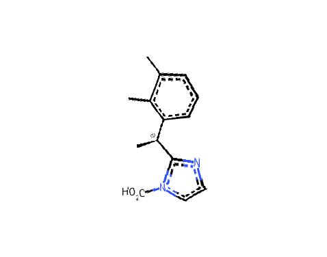 Cc1cccc([C@H](C)c2nccn2C(=O)O)c1C